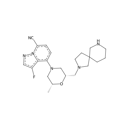 C[C@@H]1CN(c2ccc(C#N)n3ncc(F)c23)C[C@H](CN2CCC3(CCCNC3)C2)O1